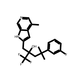 Cc1cncc2[nH]c(CC(O)(CC(C)(C)c3cccc(F)c3)C(F)(F)F)cc12